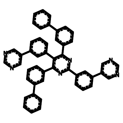 c1ccc(-c2cccc(-c3nc(-c4cccc(-c5cncnc5)c4)nc(-c4cccc(-c5ccccc5)c4)c3-c3cccc(-c4cncnc4)c3)c2)cc1